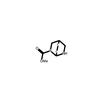 COC(=O)N1CC2CCC1NC2